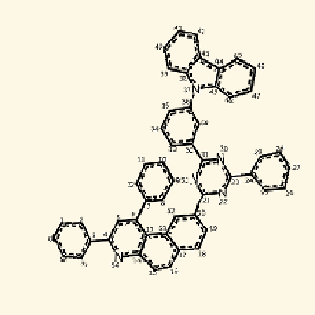 c1ccc(-c2cc(-c3ccccc3)c3c(ccc4ccc(-c5nc(-c6ccccc6)nc(-c6cccc(-n7c8ccccc8c8ccccc87)c6)n5)cc43)n2)cc1